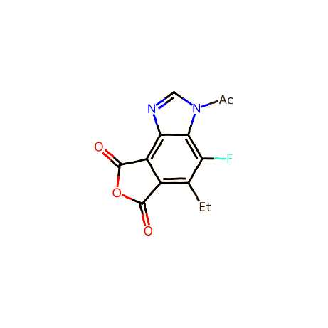 CCc1c2c(c3ncn(C(C)=O)c3c1F)C(=O)OC2=O